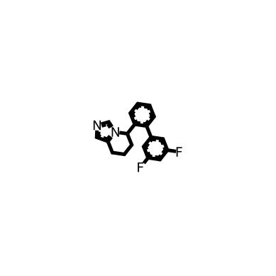 Fc1cc(F)cc(-c2ccccc2C2CCCc3cncn32)c1